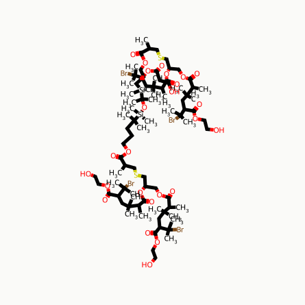 CC(CSCC(COC(=O)C(C)C(C)(C)CC(C(=O)OCCO)C(C)(C)Br)OC(=O)C(C)C(C)(C)CC(OC(=O)CCO)C(C)(C)Br)C(=O)OCCC[Si](C)(C)C(C)(C)O[Si](C)(C)C(C)(C)CCCOC(=O)C(C)CSCC(COC(=O)C(C)C(C)(C)CC(C(=O)OCCO)C(C)(C)Br)OC(=O)C(C)C(C)(C)CC(C(=O)OCCO)C(C)(C)Br